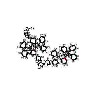 C1CCOC1.C1CCOC1.C1CCOC1.C[Si](C)(N[Si](c1ccccc1)(c1ccccc1)c1ccccc1)N[Si](c1ccccc1)(c1ccccc1)c1ccccc1.C[Si](C)(N[Si](c1ccccc1)(c1ccccc1)c1ccccc1)N[Si](c1ccccc1)(c1ccccc1)c1ccccc1.[Cl-].[Cl-].[Cl-].[Li+].[Zr+4]